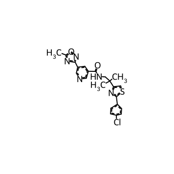 Cc1nc(-c2cncc(C(=O)NCC(C)(C)c3csc(-c4ccc(Cl)cc4)n3)c2)no1